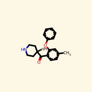 CCCC1(C(=O)c2ccc(C)cc2Oc2ccccc2)CCNCC1